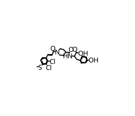 CSc1ccc(C=CC(=O)N2CCC(C(=O)NC(Cc3ccc(O)cc3)C(=O)O)CC2)c(Cl)c1Cl